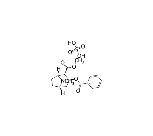 COC(=O)[C@H]1[C@@H](OC(=O)c2ccccc2)C[C@@H]2CC[C@H]1N2C.O=S(=O)(O)O